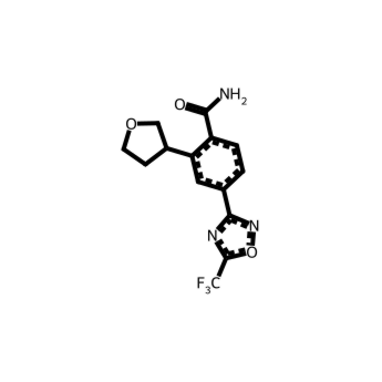 NC(=O)c1ccc(-c2noc(C(F)(F)F)n2)cc1C1CCOC1